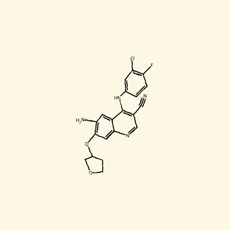 N#Cc1cnc2cc(OC3CCOC3)c(N)cc2c1Nc1ccc(F)c(Cl)c1